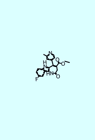 CCOC(=O)C1=C(c2ccnc(C)c2)c2[nH]c3ccc(F)cc3c2NC(=O)C1